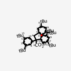 CC(C)(C)c1cc(CC(C(=O)O)(c2cc(C(C)(C)C)cc(C(C)(C)C)c2)c2cc(C(C)(C)C)cc(C(C)(C)C)c2)cc(C(C)(C)C)c1